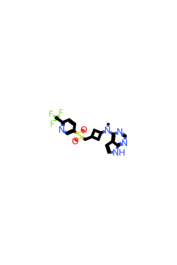 CN(c1ncnc2[nH]ccc12)C1CC(CS(=O)(=O)c2ccc(C(F)(F)F)nc2)C1